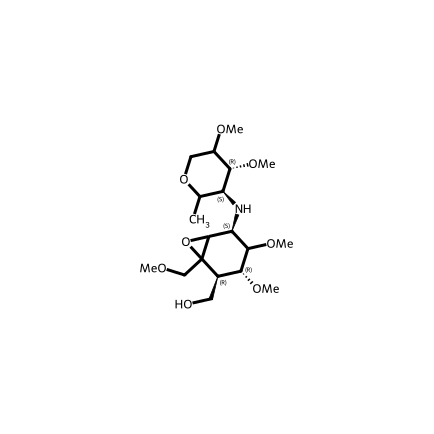 COCC12OC1[C@@H](N[C@H]1C(C)OCC(OC)[C@@H]1OC)C(OC)[C@H](OC)[C@H]2CO